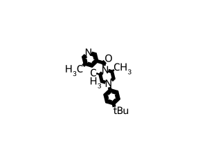 Cc1cncc(C(=O)N2[C@H](C)CN(c3ccc(C(C)(C)C)cc3)C[C@@H]2C)c1